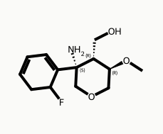 CO[C@H]1COC[C@@](N)(C2=CC=CCC2F)[C@@H]1CO